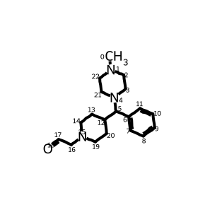 CN1CCN(C(c2ccccc2)C2CCN(CC=O)CC2)CC1